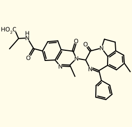 Cc1cc2c3c(c1)C(c1ccccc1)=NC(n1c(C)nc4cc(C(=O)NC(C)C(=O)O)ccc4c1=O)C(=O)N3CC2